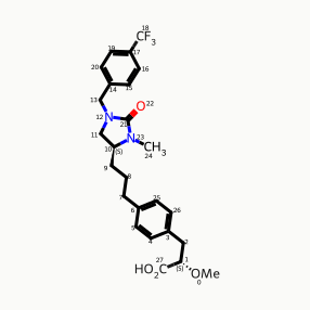 CO[C@@H](Cc1ccc(CCC[C@H]2CN(Cc3ccc(C(F)(F)F)cc3)C(=O)N2C)cc1)C(=O)O